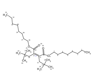 CCCCCCCCOC(=O)/C(CC(C)(C)C)=C(/CC(C)(C)C)C(=O)OCCCCCCCC